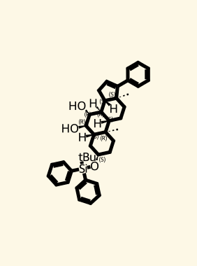 CC(C)(C)[Si](O[C@H]1CC[C@@]2(C)[C@H](C1)[C@@H](O)[C@H](O)[C@@H]1[C@@H]2CC[C@]2(C)C(c3ccccc3)=CC[C@@H]12)(c1ccccc1)c1ccccc1